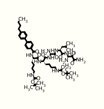 CCCCc1ccc(-c2ccc(C(=O)N[C@@H](CCCCNC(=O)OC(C)(C)C)C(=O)N[C@@H](CCCCNC(=O)OC(C)(C)C)C(=O)N[C@@H](N)C(=O)N[C@@H](CC(C)C)C(=O)N[C@@H](N)C(=O)C(N)=O)cc2)cc1